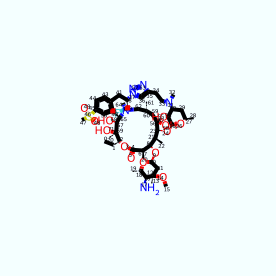 CC[C@H]1OC(=O)[C@H](C)[C@@H](O[C@H]2C[C@@](C)(OC)[C@@H](N)[C@H](C)O2)[C@H](C)[C@@H](O[C@@H]2O[C@H](C)C[C@H](N(C)CCc3cn([C@H](CF)Cc4ccc(S(C)(=O)=O)cc4)nn3)[C@H]2O)[C@](C)(O)C[C@@H](C)CN(C)[C@H](C)[C@@H](O)[C@]1(C)O